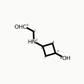 O=[C]CNC1CC(O)C1